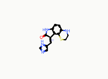 O=C1Nc2ccc3c(c2/C1=C/c1cnc[nH]1)SCCN3